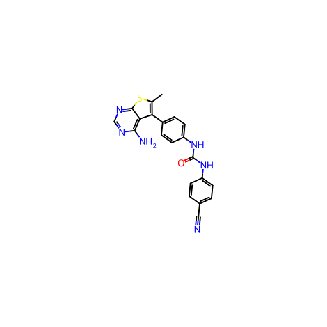 Cc1sc2ncnc(N)c2c1-c1ccc(NC(=O)Nc2ccc(C#N)cc2)cc1